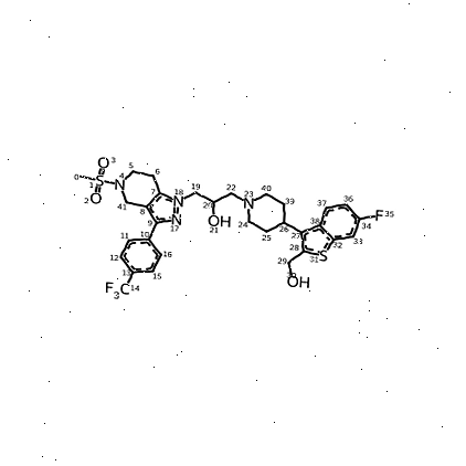 CS(=O)(=O)N1CCc2c(c(-c3ccc(C(F)(F)F)cc3)nn2CC(O)CN2CCC(c3c(CO)sc4cc(F)ccc34)CC2)C1